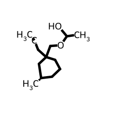 CCCC1(COC(C)O)CCC[C@@H](C)C1